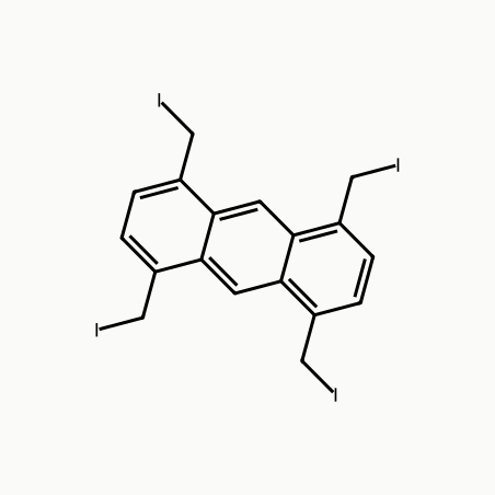 ICc1ccc(CI)c2cc3c(CI)ccc(CI)c3cc12